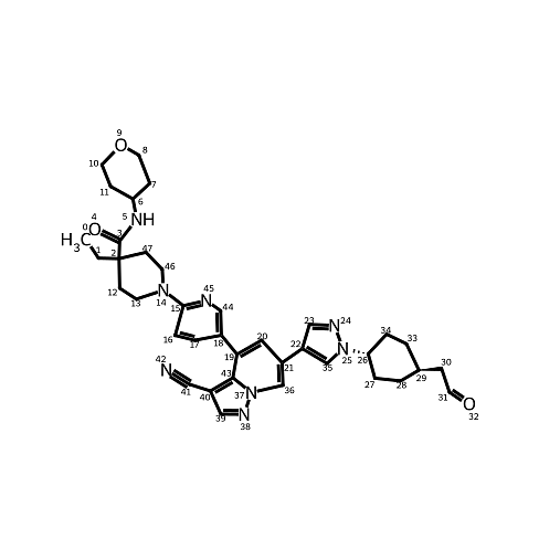 CCC1(C(=O)NC2CCOCC2)CCN(c2ccc(-c3cc(-c4cnn([C@H]5CC[C@H](CC=O)CC5)c4)cn4ncc(C#N)c34)cn2)CC1